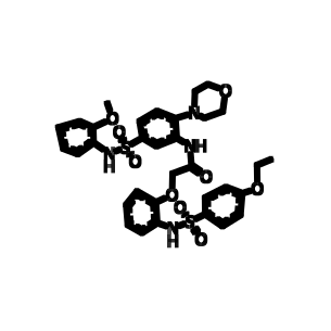 CCOc1ccc(S(=O)(=O)Nc2ccccc2OCC(=O)Nc2cc(S(=O)(=O)Nc3ccccc3OC)ccc2N2CCOCC2)cc1